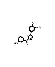 Cc1cc(-c2ccc(C(=O)c3cccc(O)c3)s2)ccc1O